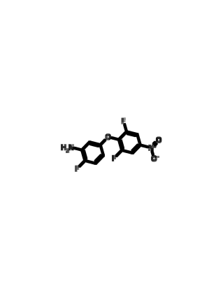 Nc1cc(Oc2c(F)cc([N+](=O)[O-])cc2F)ccc1F